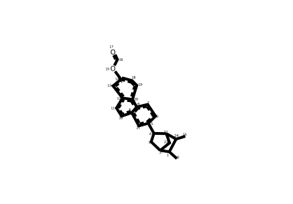 CC1C2CC(c3ccc4c(ccc5cc(OC=O)ccc54)c3)C(C2)C1C